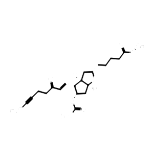 CC#CCCC(=O)/C=C/[C@@H]1[C@H]2C[C@H](CCCCC(=O)OC)O[C@H]2C[C@H]1OC(C)=O